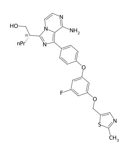 CCC[C@H](CO)c1nc(-c2ccc(Oc3cc(F)cc(OCc4cnc(C)s4)c3)cc2)c2c(N)nccn12